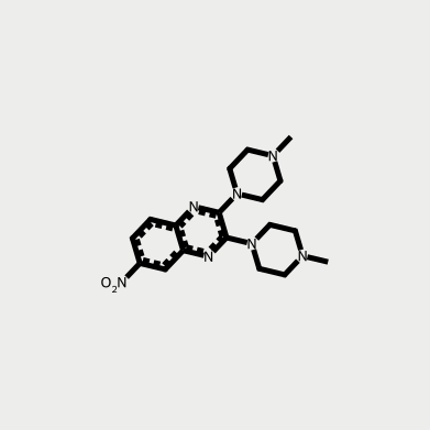 CN1CCN(c2nc3ccc([N+](=O)[O-])cc3nc2N2CCN(C)CC2)CC1